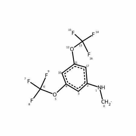 [CH2]Nc1cc(OC(F)(F)F)cc(OC(F)(F)F)c1